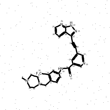 CN1CCN(Cc2ccc(NC(=O)c3cncc(C#Cc4n[nH]c5ncccc45)c3)cc2C(F)(F)F)CC1